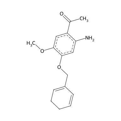 COc1cc(C(C)=O)c(N)cc1OCC1=CCCC=C1